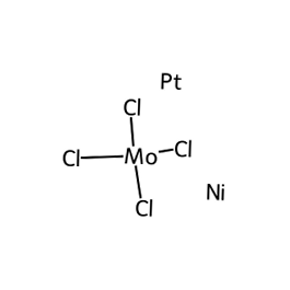 [Cl][Mo]([Cl])([Cl])[Cl].[Ni].[Pt]